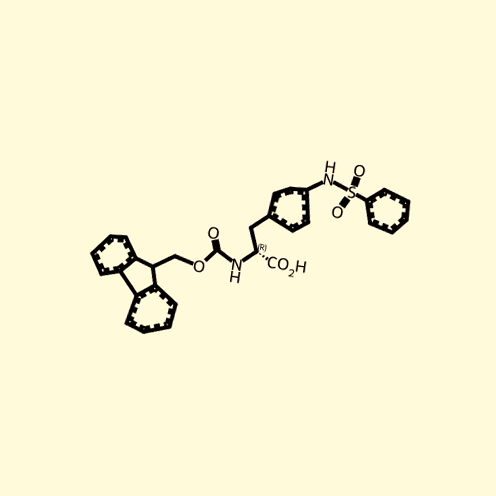 O=C(N[C@H](Cc1ccc(NS(=O)(=O)c2ccccc2)cc1)C(=O)O)OCC1c2ccccc2-c2ccccc21